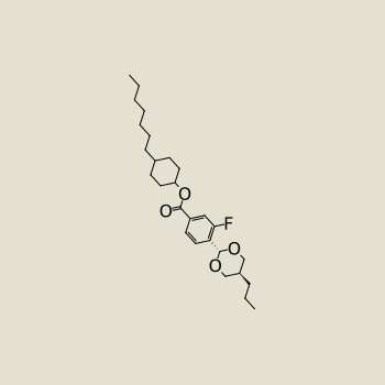 CCCCCCCC1CCC(OC(=O)c2ccc([C@H]3OC[C@H](CCC)CO3)c(F)c2)CC1